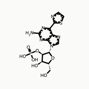 Nc1nc(-c2nccs2)c2ncn([C@@H]3O[C@H](CO)[C@@H](O)[C@H]3OP(=O)(O)O)c2n1